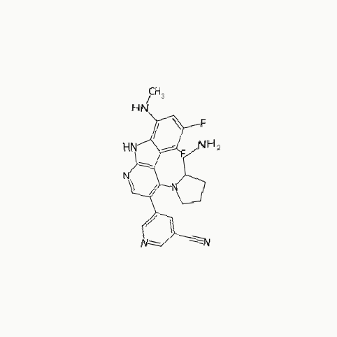 CNc1cc(F)c(F)c2c1[nH]c1ncc(-c3cncc(C#N)c3)c(N3CCCC3CN)c12